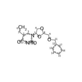 C=Cc1cn(C2COC(COCc3ccccc3)O2)c(=O)[nH]c1=O